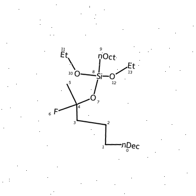 CCCCCCCCCCCCCC(C)(F)O[Si](CCCCCCCC)(OCC)OCC